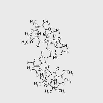 CO[C@H](C)[C@H](NC(=O)[C@H](C)N(C)C(=O)OC(C)(C)C)C(=O)N1CC[C@H](OC(C)=O)[C@H]1Cc1c(-c2[nH]c3cc(F)ccc3c2C[C@@H]2[C@@H](OC(C)=O)CCN2C(=O)[C@@H](NC(=O)[C@H](C)N(C)C(=O)OC(C)(C)C)[C@@H](C)OC)[nH]c2cc(F)ccc12